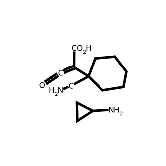 NC1CC1.NCC1(C(=C=O)C(=O)O)CCCCC1